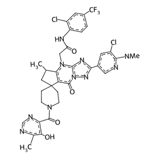 CNc1ncc(-c2nc3n(CC(=O)Nc4ccc(C(F)(F)F)cc4Cl)c4c(c(=O)n3n2)C2(CCN(C(=O)c3ncnc(C)c3O)CC2)CC4C)cc1Cl